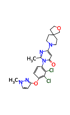 Cc1nc(N2CCC3(CCOC3)CC2)cc(=O)n1-c1ccc(Oc2ccn(C)n2)c(Cl)c1Cl